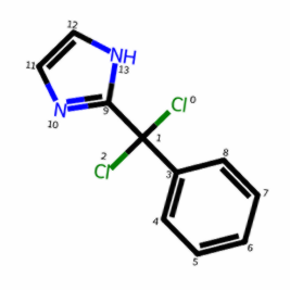 ClC(Cl)(c1ccccc1)c1ncc[nH]1